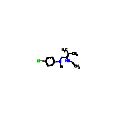 C=CNC(CN(CC)c1ccc(Cl)cc1)=C(C)C